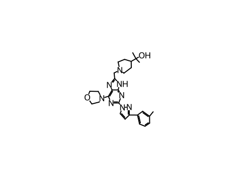 Cc1cccc(-c2ccn(-c3nc(N4CCOCC4)c4nc(CN5CCC(C(C)(C)O)CC5)[nH]c4n3)n2)c1